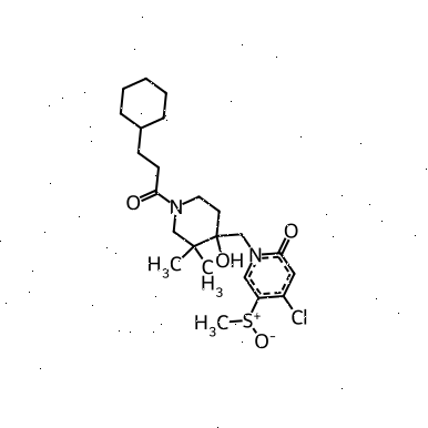 C[S+]([O-])c1cn(CC2(O)CCN(C(=O)CCC3CCCCC3)CC2(C)C)c(=O)cc1Cl